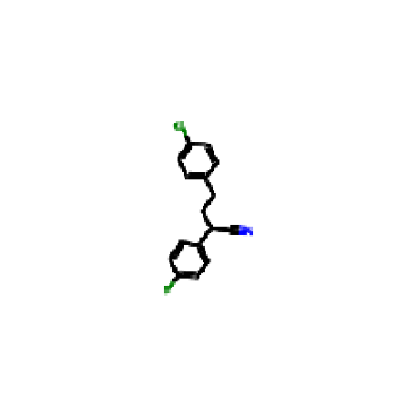 N#CC(CCc1ccc(Cl)cc1)c1ccc(F)cc1